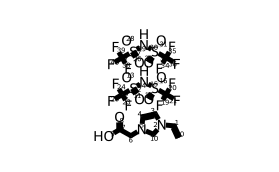 C=CN1C=CN(CC(=O)O)C1.O=S(=O)(NS(=O)(=O)C(F)(F)F)C(F)(F)F.O=S(=O)(NS(=O)(=O)C(F)(F)F)C(F)(F)F